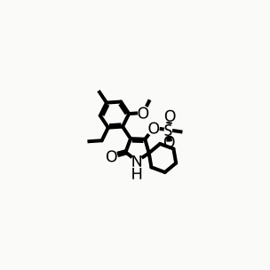 CCc1cc(C)cc(OC)c1C1=C(OS(C)(=O)=O)C2(CCCCC2)NC1=O